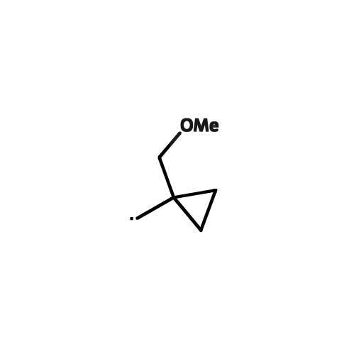 [CH2]C1(COC)CC1